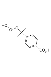 CC(C)(OOO)c1ccc(C(=O)O)cc1